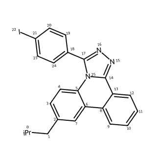 CC(C)Cc1ccc2c(c1)c1ccccc1c1nnc(-c3ccc(I)cc3)n21